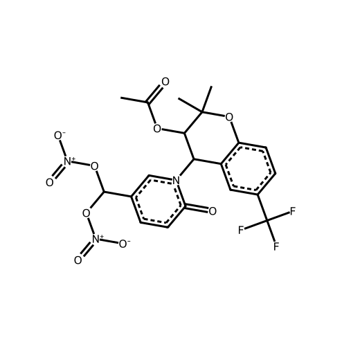 CC(=O)OC1C(n2cc(C(O[N+](=O)[O-])O[N+](=O)[O-])ccc2=O)c2cc(C(F)(F)F)ccc2OC1(C)C